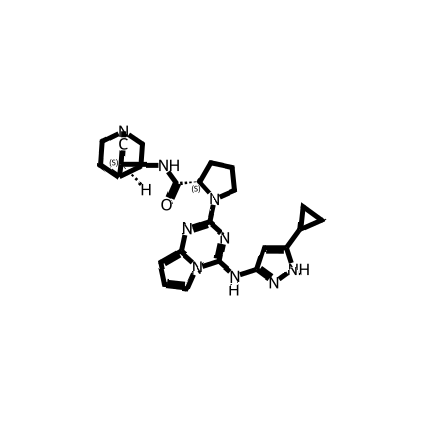 O=C(N[C@@H]1CN2CCC1CC2)[C@@H]1CCCN1c1nc(Nc2cc(C3CC3)[nH]n2)n2cccc2n1